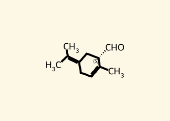 CC1=CCC(=C(C)C)C[C@@H]1C=O